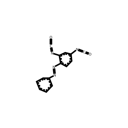 O=C=Nc1ccc(N=Nc2ccccc2)c(N=C=O)c1